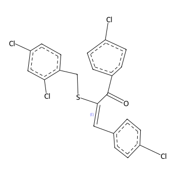 O=C(/C(=C\c1ccc(Cl)cc1)SCc1ccc(Cl)cc1Cl)c1ccc(Cl)cc1